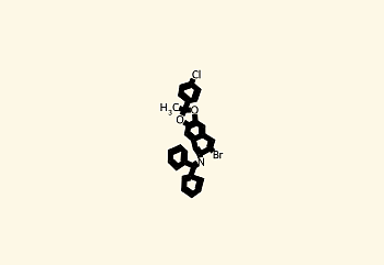 CC1(c2ccc(Cl)cc2)Oc2cc3cc(Br)c(N=C(c4ccccc4)c4ccccc4)cc3cc2O1